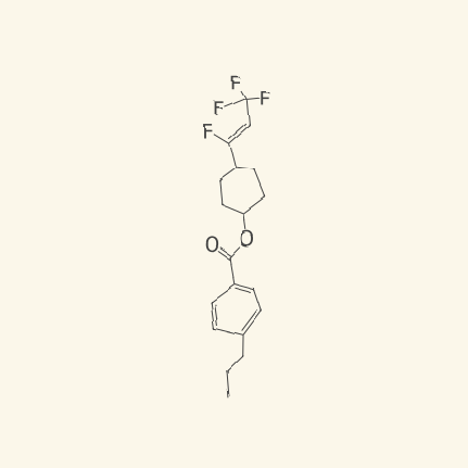 CCCc1ccc(C(=O)OC2CCC(/C(F)=C/C(F)(F)F)CC2)cc1